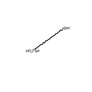 CCCCCCCCCCCCCCCCCCCCCCCCCCCCCCCCC(S)C(=O)O